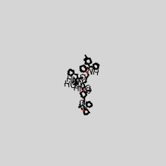 COc1cc(CO[Si](c2ccccc2)(c2ccccc2)C(C)(C)C)ccc1NC(=O)C(CCCCNC(c1ccccc1)(c1ccccc1)c1ccc(C)cc1)NC(=O)C(Cc1ccccc1)NC(=O)O